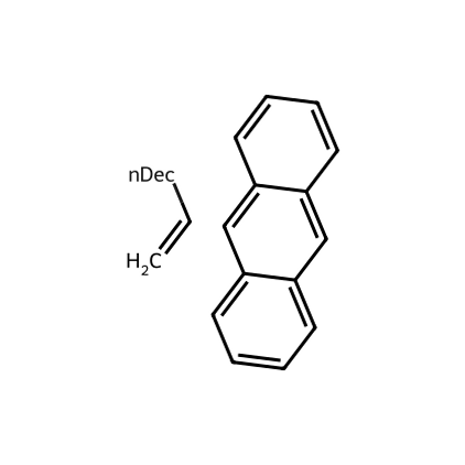 C=CCCCCCCCCCC.c1ccc2cc3ccccc3cc2c1